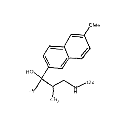 COc1ccc2cc(C(O)(C(C)C)C(C)CNC(C)(C)C)ccc2c1